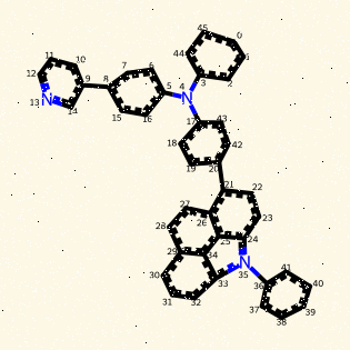 c1ccc(N(c2ccc(-c3cccnc3)cc2)c2ccc(-c3ccc4c5c3ccc3cccc(c35)n4-c3ccccc3)cc2)cc1